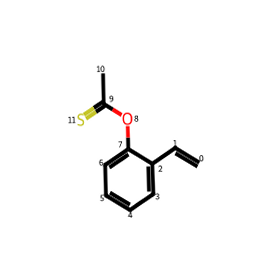 C=Cc1ccccc1OC(C)=S